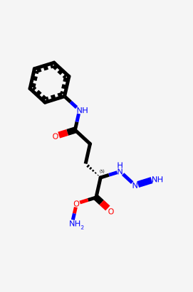 N=NN[C@@H](CCC(=O)Nc1ccccc1)C(=O)ON